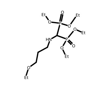 CCOCCCNC(P(=O)(OCC)OCC)P(=O)(OCC)OCC